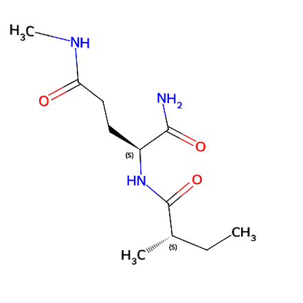 CC[C@H](C)C(=O)N[C@@H](CCC(=O)NC)C(N)=O